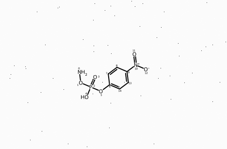 NOP(=O)(O)Oc1ccc([N+](=O)[O-])cc1